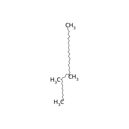 CCCCCCCCCCCCCCCCCCCCCCC(C)CCCC(C)CCCCCCCCCC